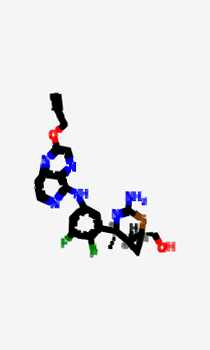 C#CCOc1cnc2c(Nc3cc(F)c(F)c([C@@]4(C)N=C(N)S[C@@]5(CO)C[C@H]54)c3)nccc2n1